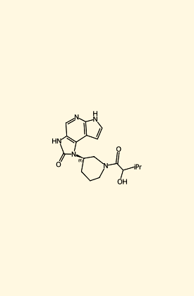 CC(C)C(O)C(=O)N1CCC[C@@H](n2c(=O)[nH]c3cnc4[nH]ccc4c32)C1